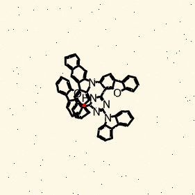 c1ccc2cc3c(cc2c1)c1cc2ccccc2cc1n3-c1ccc2c(oc3ccccc32)c1C1=NC(n2c3ccccc3c3ccccc32)=NC(c2cccc3c2oc2ccccc23)N1